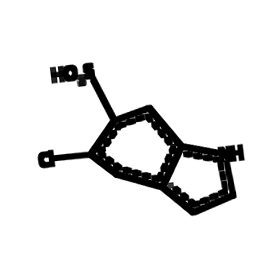 O=S(=O)(O)c1cc2[nH]ccc2cc1Cl